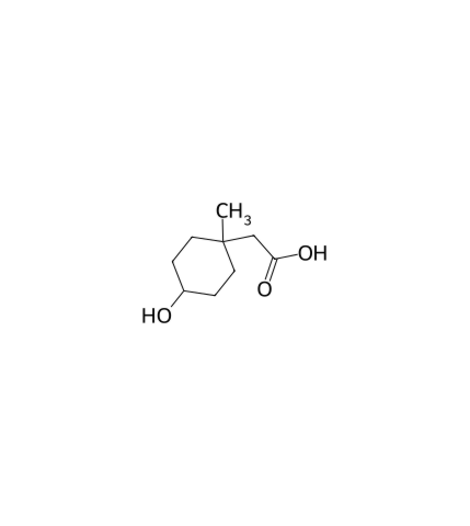 CC1(CC(=O)O)CCC(O)CC1